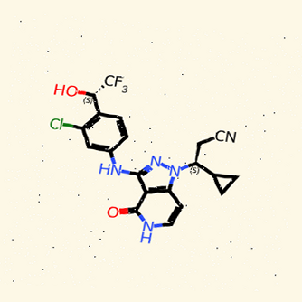 N#CC[C@@H](C1CC1)n1nc(Nc2ccc([C@H](O)C(F)(F)F)c(Cl)c2)c2c(=O)[nH]ccc21